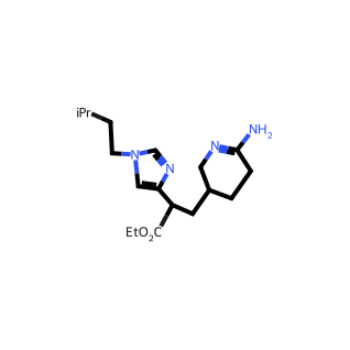 CCOC(=O)C(CC1CCC(N)=NC1)c1cn(CCC(C)C)cn1